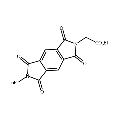 CCCn1c(=O)c2cc3c(=O)n(CC(=O)OCC)c(=O)c3cc2c1=O